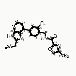 CC(C)Cc1nc2c(-c3ccc(CNC(=O)c4nc(C(C)(C)C)no4)c(F)c3)ccnc2[nH]1